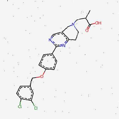 CC(CN1CCc2nc(-c3ccc(OCc4ccc(Cl)c(Cl)c4)cc3)ncc2C1)C(=O)O